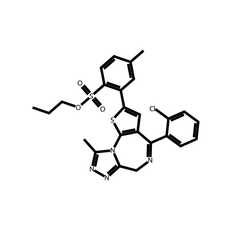 CCCOS(=O)(=O)c1ccc(C)cc1-c1cc2c(s1)-n1c(C)nnc1CN=C2c1ccccc1Cl